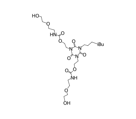 CCC(C)CCCn1c(=O)n(CCOC(=O)NCCOCCO)c(=O)n(CCOC(=O)NCCOCCO)c1=O